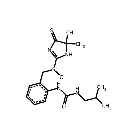 CC(C)CNC(=O)Nc1ccccc1C[S+]([O-])C1=NC(=S)C(C)(C)N1